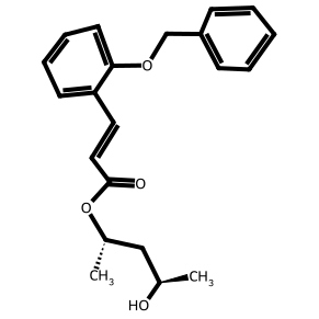 C[C@@H](O)C[C@H](C)OC(=O)C=Cc1ccccc1OCc1ccccc1